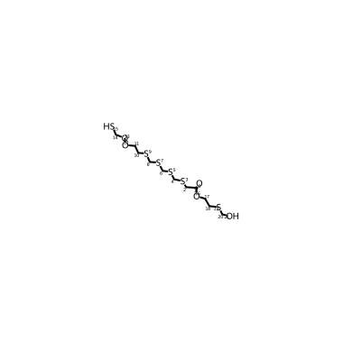 O=C(CSCSCSCSCCOOCS)OCCSCO